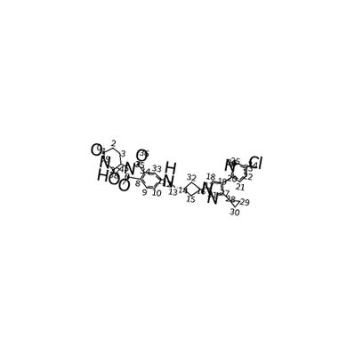 O=C1CCC(N2C(=O)c3ccc(NC[C@H]4C[C@H](n5cc(-c6ccc(Cl)cn6)c(C6CC6)n5)C4)cc3C2=O)C(=O)N1